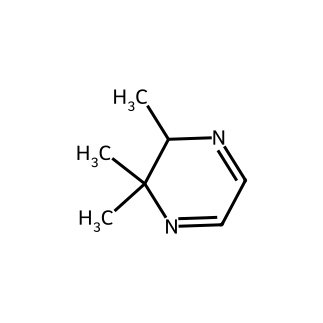 CC1N=CC=NC1(C)C